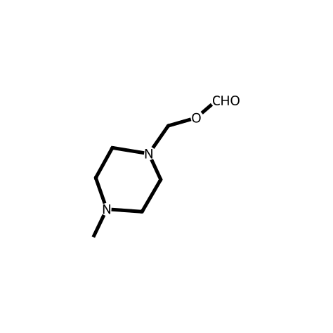 CN1CCN(COC=O)CC1